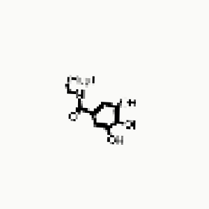 CCCCCCCCNC(=O)c1cc(O)c(O)c(O)c1